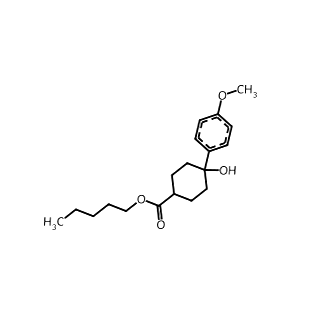 CCCCCOC(=O)C1CCC(O)(c2ccc(OC)cc2)CC1